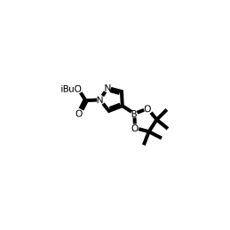 CC(C)COC(=O)n1cc(B2OC(C)(C)C(C)(C)O2)cn1